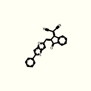 N#CC(C#N)=C1/C(=C/c2cc3sc(-c4ccccc4)cc3o2)C(=O)c2ccccc21